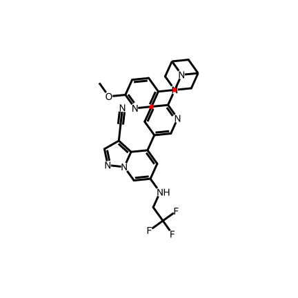 COc1ccc(CN2C3CC2CN(c2ccc(-c4cc(NCC(F)(F)F)cn5ncc(C#N)c45)cn2)C3)cn1